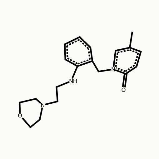 Cc1ccc(=O)n(Cc2ccccc2NCCN2CCOCC2)c1